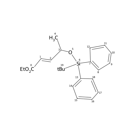 CCOC(=O)/C=C/C(C)O[Si](c1ccccc1)(c1ccccc1)C(C)(C)C